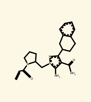 C=CC(=O)N1CCCC1Cn1nc(C2CCc3ccccc3C2)c(C(N)=O)c1N